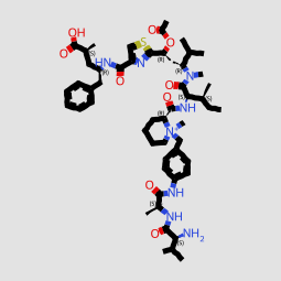 CC[C@H](C)[C@H](NC(=O)[C@H]1CCCC[N+]1(C)Cc1ccc(NC(=O)[C@H](C)NC(=O)[C@@H](N)C(C)C)cc1)C(=O)N(C)[C@H](C[C@@H](OC(C)=O)c1nc(C(=O)N[C@@H](Cc2ccccc2)C[C@H](C)C(=O)O)cs1)C(C)C